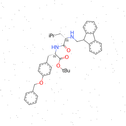 CC(C)C[C@H](NCC1c2ccccc2-c2ccccc21)C(=O)N[C@@H](Cc1ccc(OCc2ccccc2)cc1)C(=O)OC(C)(C)C